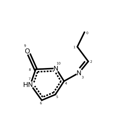 CC/C=N\c1cc[nH]c(=O)n1